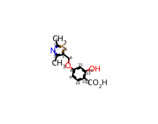 Cc1nc(C)c(COc2ccc(C(=O)O)c(O)c2)s1